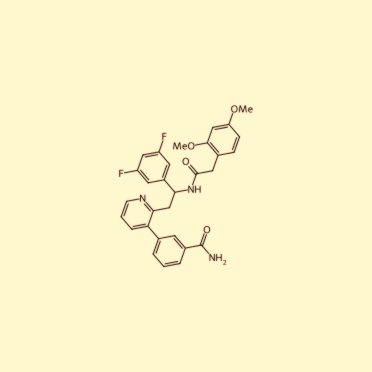 COc1ccc(CC(=O)NC(Cc2ncccc2-c2cccc(C(N)=O)c2)c2cc(F)cc(F)c2)c(OC)c1